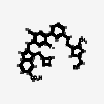 CCOc1nc(C)c(COc2cccc(-c3cc(F)c(Cc4nc5ccc(C(=O)O)cc5n4CC4CCO4)cc3F)n2)s1